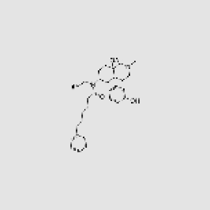 CC(=O)O[C@]12CC[C@@H](N(CC(C)C)C(=O)CCCCCc3ccccc3)C[C@]1(c1cccc(O)c1)CCN(C)C2